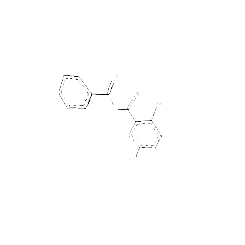 N=C(NC(=O)c1ccccc1)c1cc(N)ccc1N